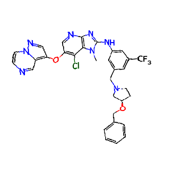 Cn1c(Nc2cc(CN3CC[C@@H](OCc4ccccc4)C3)cc(C(F)(F)F)c2)nc2ncc(Oc3cnn4ccncc34)c(Cl)c21